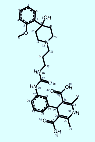 COc1ccccc1C1(O)CCN(CCCNC(=O)Nc2cccc(C3C(C(=O)O)=C(C)NC(C)=C3C(=O)O)c2)CC1